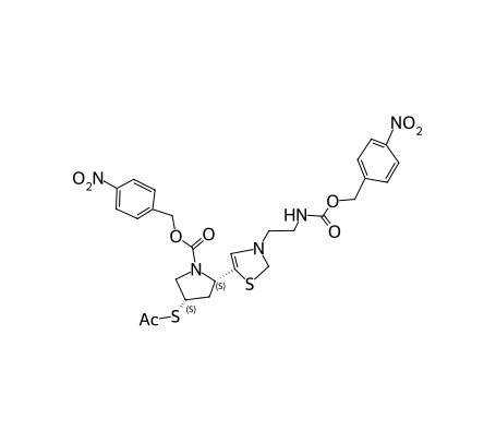 CC(=O)S[C@H]1C[C@@H](C2=CN(CCNC(=O)OCc3ccc([N+](=O)[O-])cc3)CS2)N(C(=O)OCc2ccc([N+](=O)[O-])cc2)C1